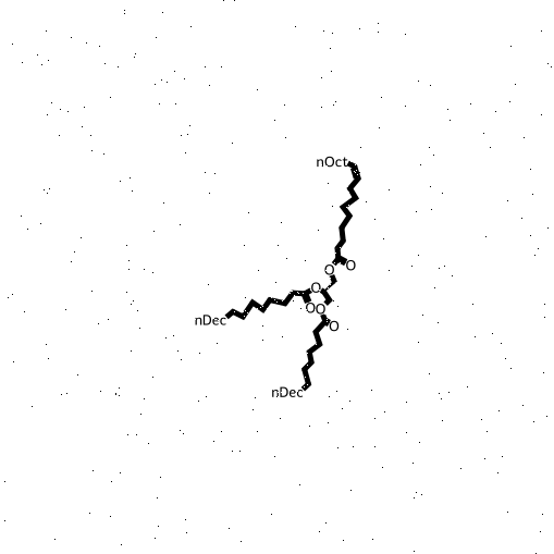 CCCCCCCC/C=C\CCCCCCCC(=O)OC[C@@H](COC(=O)CCCCCCCCCCCCCCCC)OC(=O)CCCCCCCCCCCCCCCCC